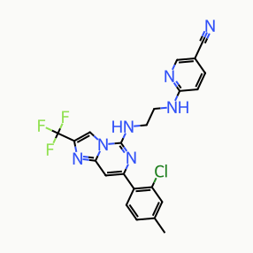 Cc1ccc(-c2cc3nc(C(F)(F)F)cn3c(NCCNc3ccc(C#N)cn3)n2)c(Cl)c1